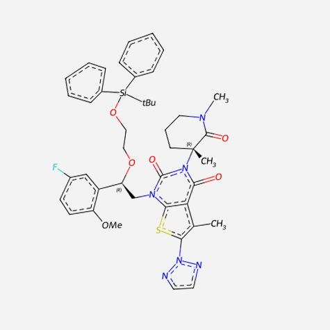 COc1ccc(F)cc1[C@H](Cn1c(=O)n([C@]2(C)CCCN(C)C2=O)c(=O)c2c(C)c(-n3nccn3)sc21)OCCO[Si](c1ccccc1)(c1ccccc1)C(C)(C)C